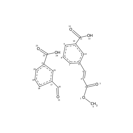 COC(=O)C=Cc1cccc(C(=O)O)c1.O=Cc1cccc(C(=O)O)c1